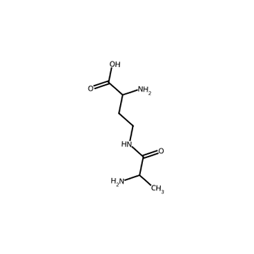 CC(N)C(=O)NCCC(N)C(=O)O